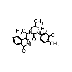 Cc1ccc(NC(=O)N(CC(C)C)C(C)c2n[nH]c(=O)c3ccccc23)cc1Cl